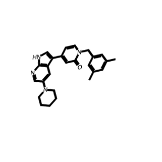 Cc1cc(C)cc(Cn2ccc(-c3c[nH]c4ncc(N5CCCCC5)cc34)cc2=O)c1